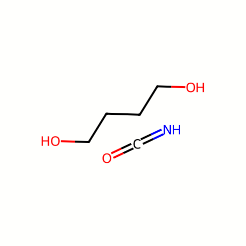 N=C=O.OCCCCO